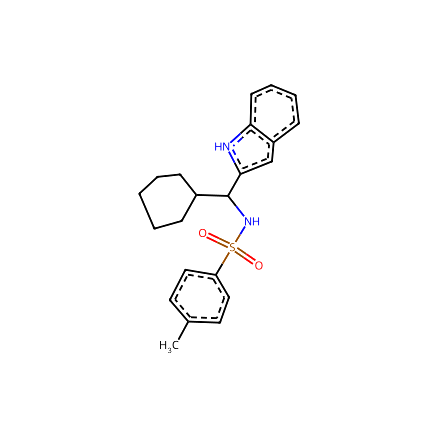 Cc1ccc(S(=O)(=O)NC(c2cc3ccccc3[nH]2)C2CCCCC2)cc1